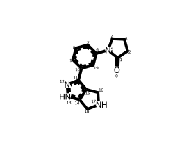 O=C1CCCN1c1cccc(-c2n[nH]c3c2CNC3)c1